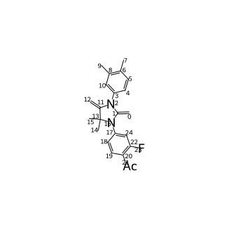 C=C1N(c2ccc(C)c(C)c2)C(=C)C(C)(C)N1c1ccc(C(C)=O)c(F)c1